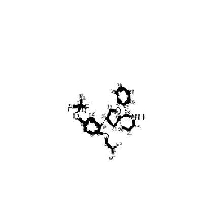 FC(F)COc1ccc(OC(F)(F)F)cc1[C@@H]1CO[C@]2(CCCN[C@H]2c2ccccc2)C1